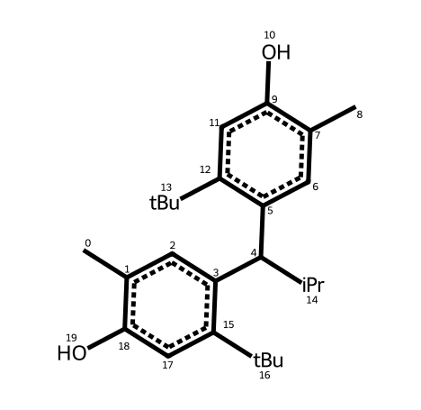 Cc1cc(C(c2cc(C)c(O)cc2C(C)(C)C)C(C)C)c(C(C)(C)C)cc1O